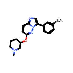 CSc1cccc(-c2cnc3ccc(OC4CCCN(C)C4)nn23)c1